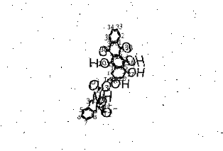 O=C(NCc1ccccc1[N+](=O)[O-])OC[C@]1(O)Cc2c(O)c3c(c(O)c2[C@@H](O)C1)C(=O)c1ccccc1C3=O